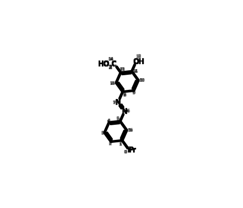 CC(C)c1cccc(/N=N/c2ccc(O)c(C(=O)O)c2)c1